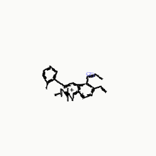 C=Cc1ccc2n[n+](C)c(-c3ccccc3C)cc2c1/C=C\C